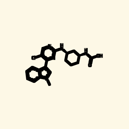 Cn1cc(-c2nc(N[C@@H]3CCC[C@H](NC(=O)O)C3)ncc2Cl)c2ccccc21